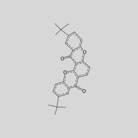 CC(C)(C)c1ccc2oc3c(ccc4oc5ccc(C(C)(C)C)cc5c(=O)c43)c(=O)c2c1